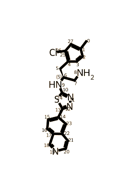 Cc1ccc(C[C@@H](CN)Nc2nnc(-c3ccc4cnccc4c3)s2)c(Cl)c1